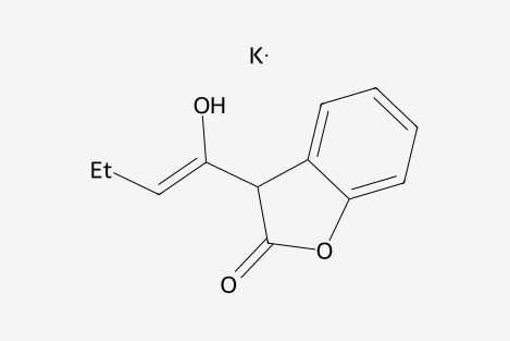 CCC=C(O)C1C(=O)Oc2ccccc21.[K]